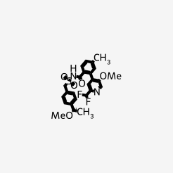 COc1cnc(C(F)F)cc1-c1cc(C)ccc1C(=O)NS(=O)(=O)Cc1ccc([C@@H](C)OC)cc1